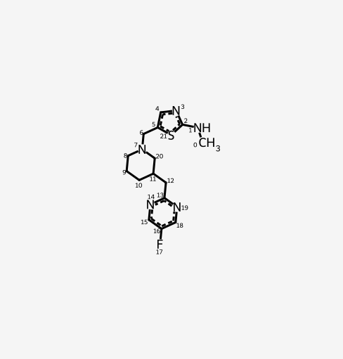 CNc1ncc(CN2CCCC(Cc3ncc(F)cn3)C2)s1